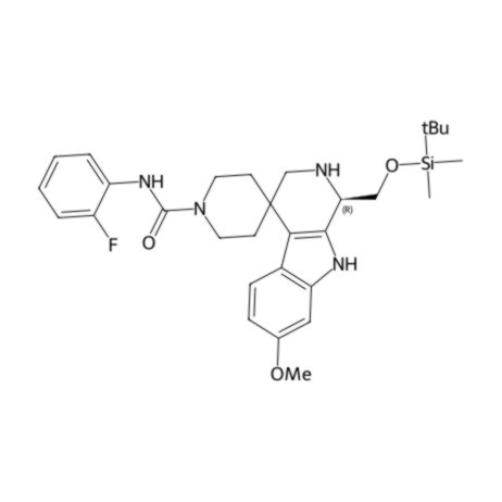 COc1ccc2c3c([nH]c2c1)[C@H](CO[Si](C)(C)C(C)(C)C)NCC31CCN(C(=O)Nc2ccccc2F)CC1